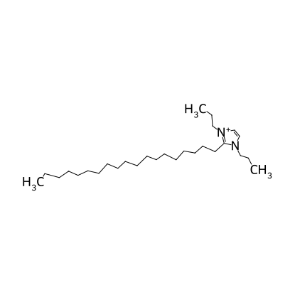 CCCCCCCCCCCCCCCCCCCc1n(CCC)cc[n+]1CCC